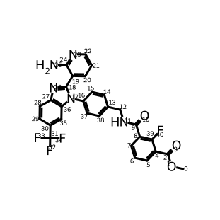 COC(=O)c1cccc(C(=O)NCc2ccc(-n3c(-c4cccnc4N)nc4ccc(C(F)(F)F)cc43)cc2)c1F